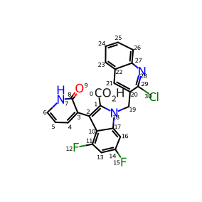 O=C(O)c1c(-c2ccc[nH]c2=O)c2c(F)cc(F)cc2n1Cc1cc2ccccc2nc1Cl